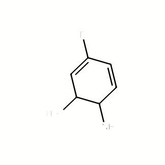 CC1C=C(F)C=CC1N